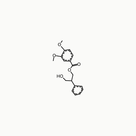 COc1ccc(C(=O)OCC(CO)c2ccccc2)cc1OC